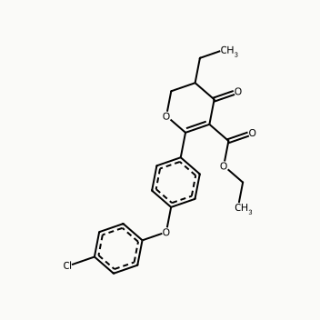 CCOC(=O)C1=C(c2ccc(Oc3ccc(Cl)cc3)cc2)OCC(CC)C1=O